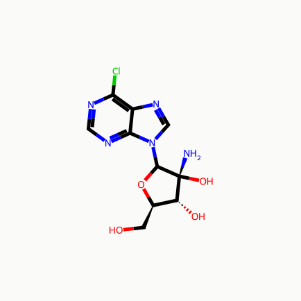 N[C@]1(O)C(n2cnc3c(Cl)ncnc32)O[C@H](CO)[C@H]1O